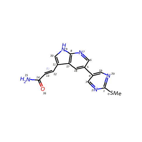 CSc1ncc(-c2cnc3[nH]cc(/C=C/C(N)=O)c3c2)cn1